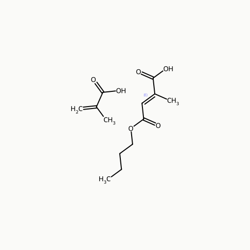 C=C(C)C(=O)O.CCCCOC(=O)/C=C(\C)C(=O)O